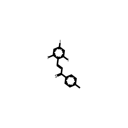 Cc1ccc(C(=S)C=Cc2c(I)cc(I)cc2I)cc1